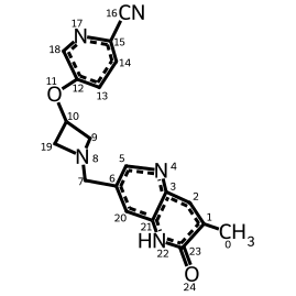 Cc1cc2ncc(CN3CC(Oc4ccc(C#N)nc4)C3)cc2[nH]c1=O